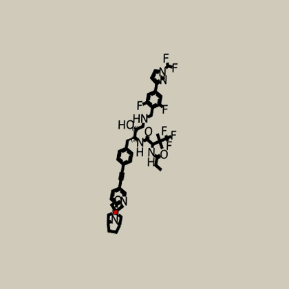 CCC(=O)NC(C(=O)N[C@@H](Cc1ccc(C#Cc2ccc(N3CC4CCC(C3)N4C3COC3)nc2)cc1)[C@@H](O)CNCc1c(F)cc(-c2ccn(C(F)F)n2)cc1F)C(C)(C)C(F)(F)F